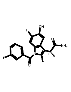 Cc1c([C@H](C)C(N)=O)c2cc(O)c(F)cc2n1C(=O)c1cccc(F)c1